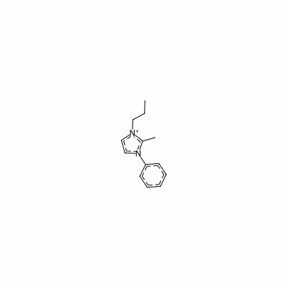 CCC[n+]1ccn(-c2ccccc2)c1C